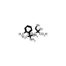 CCOC(=O)C(CC)(CC(C)C)C(=O)O.Cc1ccccc1C(C)(C)N